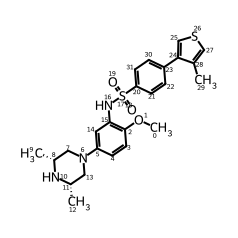 COc1ccc(N2C[C@@H](C)N[C@@H](C)C2)cc1NS(=O)(=O)c1ccc(-c2cscc2C)cc1